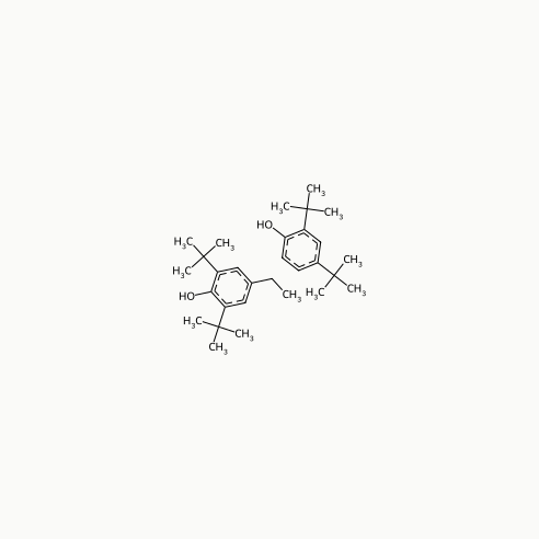 CC(C)(C)c1ccc(O)c(C(C)(C)C)c1.CCc1cc(C(C)(C)C)c(O)c(C(C)(C)C)c1